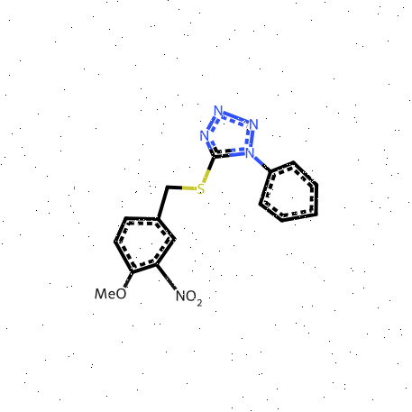 COc1ccc(CSc2nnnn2-c2ccccc2)cc1[N+](=O)[O-]